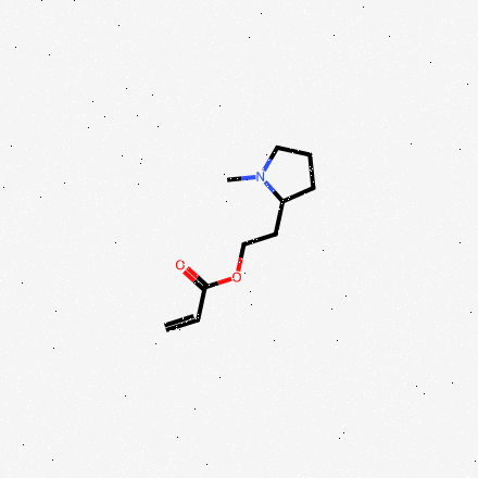 C=CC(=O)OCCC1CCCN1C